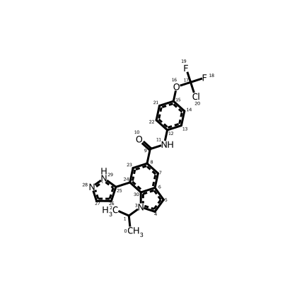 CC(C)n1ccc2cc(C(=O)Nc3ccc(OC(F)(F)Cl)cc3)cc(-c3ccn[nH]3)c21